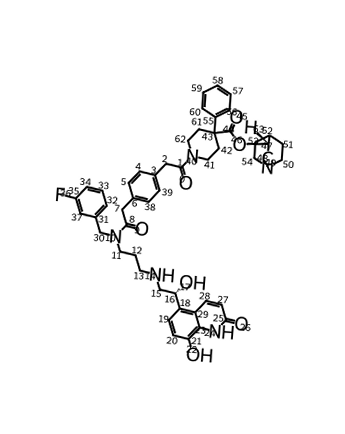 O=C(Cc1ccc(CC(=O)N(CCCNC[C@H](O)c2ccc(O)c3[nH]c(=O)ccc23)Cc2cccc(F)c2)cc1)N1CCC(C(=O)O[C@H]2CN3CCC2CC3)(c2ccccc2)CC1